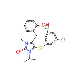 CC(C)n1c(Sc2cc(Cl)cc(Cl)c2)c(Cc2ccccc2O)n(C)c1=O